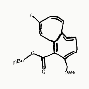 CCCCOC(=O)c1c(OC)ccc2ccc(F)cc12